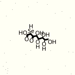 O=C(O)C([SeH])C(=O)[C@H](O)[C@@H](O)[C@H](O)[C@H](O)CO